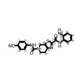 N#Cc1ccc(NC(=O)N2CCc3nc(C(=O)Nc4ccccc4N)sc3C2)cc1